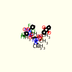 CCN(CC)c1nc(C)cc(OP(=S)(OC)OC)n1.CCN(Cc1c(F)cccc1Cl)c1c([N+](=O)[O-])cc(C(F)(F)F)cc1[N+](=O)[O-].O=C1c2ccccc2C(=O)c2ccccc21